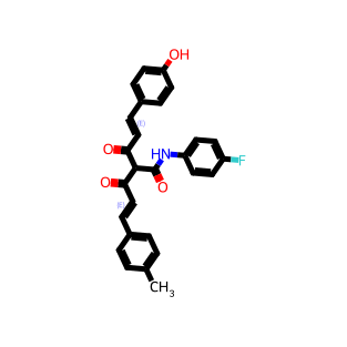 Cc1ccc(/C=C/C(=O)C(C(=O)/C=C/c2ccc(O)cc2)C(=O)Nc2ccc(F)cc2)cc1